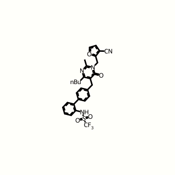 CCCCc1nc(C)n(Cc2occc2C#N)c(=O)c1Cc1ccc(-c2ccccc2NS(=O)(=O)C(F)(F)F)cc1